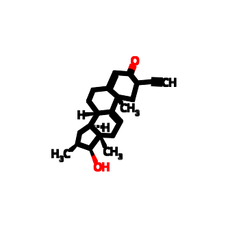 C#CC1C[C@@]2(C)C(=CC1=O)CC[C@@H]1C2=CC[C@]2(C)[C@@H](O)[C@@H](C)C[C@@H]12